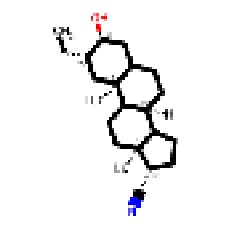 CC[C@H]1C[C@@]2(C)C(CC[C@@H]3C2CC[C@@]2(C)C3CC[C@@H]2C#N)C[C@@H]1O